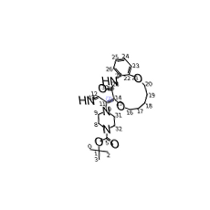 CC(C)(C)OC(=O)N1CCN(/C(C=N)=C2\OCCCCCOc3ccccc3NC2=O)CC1